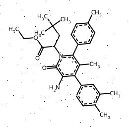 CCOC(=O)C(CC(C)(C)C)n1c(-c2ccc(C)cc2)c(C)c(-c2ccc(C)c(C)c2)c(N)c1=O